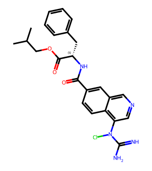 CC(C)COC(=O)[C@H](Cc1ccccc1)NC(=O)c1ccc2c(N(Cl)C(=N)N)cncc2c1